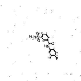 Cc1cc(NC(=O)c2cccc(S(N)(=O)=O)c2)ccc1F